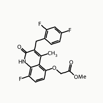 COC(=O)COc1ccc(F)c2[nH]c(=O)c(Cc3ccc(F)cc3F)c(C)c12